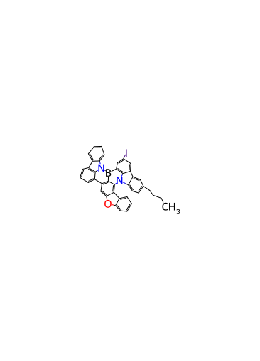 CCCCc1ccc2c(c1)c1cc(I)cc3c1n2-c1c2c(cc4oc5ccccc5c14)-c1cccc4c5ccccc5n(c14)B23